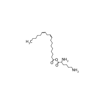 CCCCC/C=C\C/C=C\CCCCCCCC(=O)OC(=O)[C@@H](N)CCCCN